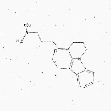 CCCCN(C)CCCCC12CCCn3c1c(c1ccccc13)CCO2